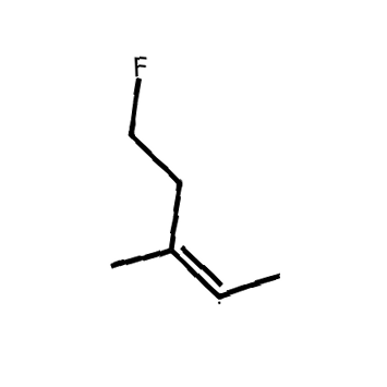 C[C]=C(C)CCF